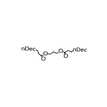 CCCCCCCCCCCCC(=O)OC[CH]COC(=O)CCCCCCCCCCCC